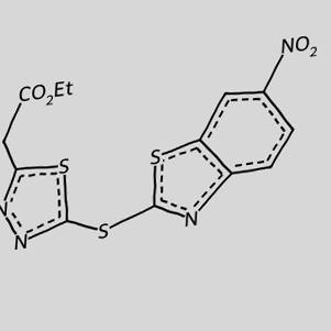 CCOC(=O)Cc1nnc(Sc2nc3ccc([N+](=O)[O-])cc3s2)s1